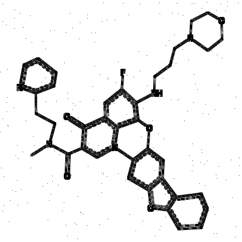 CN(CCc1ccccn1)C(=O)c1cn2c3c(c(NCCCN4CCOCC4)c(F)cc3c1=O)Oc1cc3c(cc1-2)oc1ccccc13